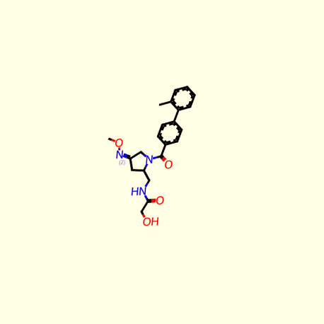 CO/N=C1/CC(CNC(=O)CO)N(C(=O)c2ccc(-c3ccccc3C)cc2)C1